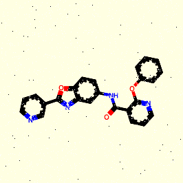 O=C(Nc1ccc2oc(-c3cccnc3)nc2c1)c1cccnc1Oc1ccccc1